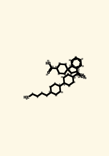 CCCCCC1CCC(C2CCC(C(C)c3ccccc3C3(CCC)CCC(C(=O)O)CC3)CC2)CC1